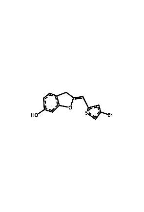 Oc1ccc2c(c1)O/C(=C\c1cc(Br)cs1)C2